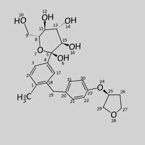 Cc1ccc([C@]2(O)O[C@H](CO)[C@@H](O)[C@H](O)[C@H]2O)cc1Cc1ccc(O[C@H]2CCOC2)cc1